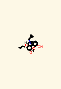 CCCCO[C@@]12CCC(=O)[C@@H]3Oc4c(O)ccc5c4[C@@]31CCN(CC1CC1)[C@@H]2C5